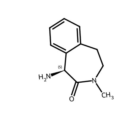 CN1CCc2ccccc2[C@H](N)C1=O